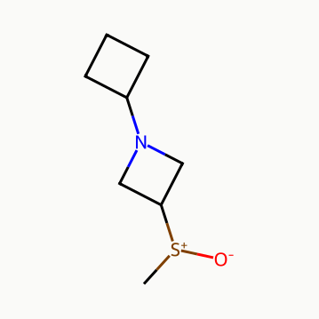 C[S+]([O-])C1CN(C2CCC2)C1